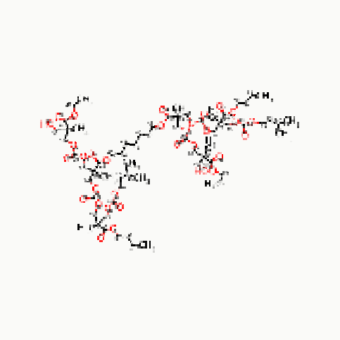 CCCCOC(=O)C(C)(COC(=O)OCCC(C)C)COC(=O)OCC(C)(COC(=O)OCC(C)(CO)C(=O)OCC)C(=O)OCCCCCCCOC(=O)C(C)(COC(=O)OCC(C)(CO)C(=O)OCC)COC(=O)OCC(C)(COC(=O)OCCC(C)C)C(=O)OCCCC